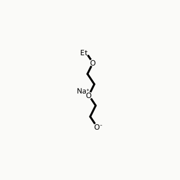 CCOCCOCC[O-].[Na+]